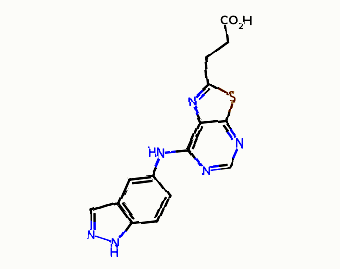 O=C(O)CCc1nc2c(Nc3ccc4[nH]ncc4c3)ncnc2s1